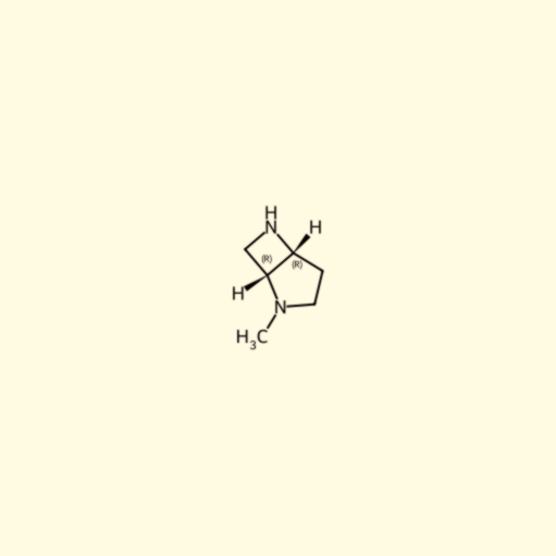 CN1CC[C@H]2NC[C@H]21